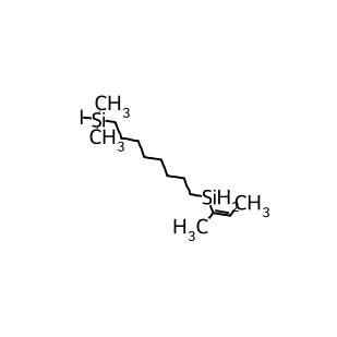 CC=C(C)[SiH2]CCCCCCCC[Si](C)(C)I